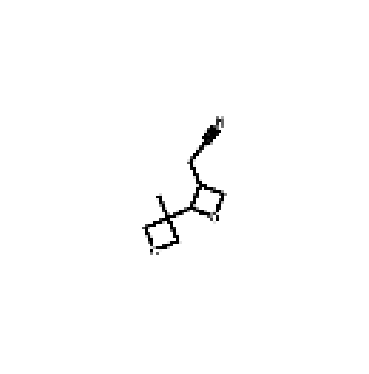 CC1(C2OC[C]2CC#N)COC1